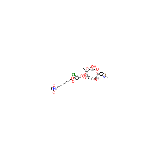 C=CC[C@H]1C(=O)C(C)(C)[C@@H](O)CC(=O)O[C@H](c2ccc3sc(C)nc3c2)C[C@@H]2O[C@]2(C)CCC[C@H](C)[C@@H]1OC(=O)OCc1ccc(OC(=O)CCCCCCCCCCN2C(=O)C=CC2=O)c(Cl)c1